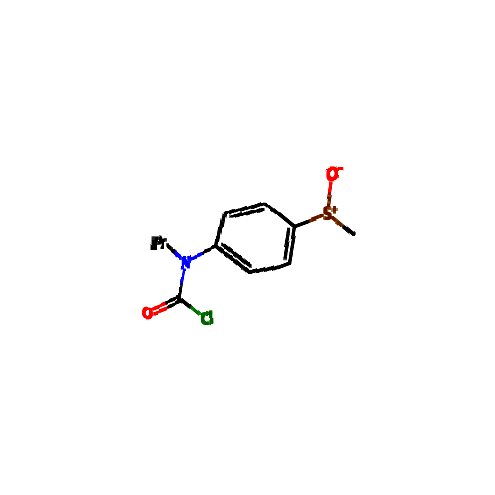 CC(C)N(C(=O)Cl)c1ccc([S+](C)[O-])cc1